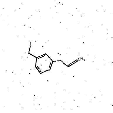 C=CCc1cccc(CI)c1